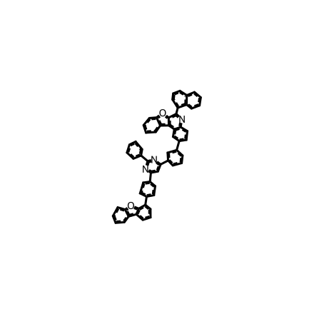 c1ccc(-c2nc(-c3ccc(-c4cccc5c4oc4ccccc45)cc3)cc(-c3cccc(-c4ccc5nc(-c6cccc7ccccc67)c6oc7ccccc7c6c5c4)c3)n2)cc1